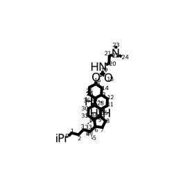 CC(C)CCC[C@@H](C)C1CC[C@H]2[C@@H]3CCC4CC(OC(=O)NCCN(C)C)CC[C@]4(C)[C@H]3CC[C@]12C